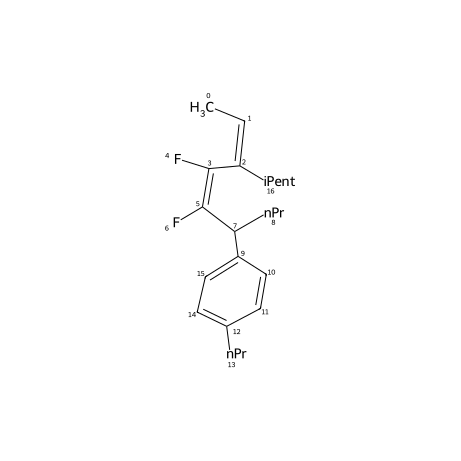 C/C=C(\C(F)=C(\F)C(CCC)c1ccc(CCC)cc1)C(C)CCC